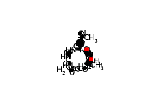 Cc1ncsc1-c1ccc([C@H]2NC(=O)[C@@H]3CCCN3C(=O)C(C(C)(C)C)NC(=O)CSC[C@H](C(N)=O)NC(=O)CNC(=O)CNC2=O)cc1